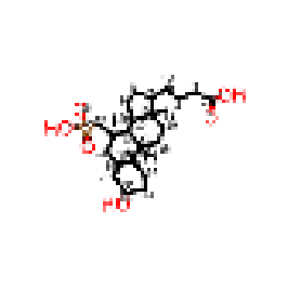 C[C@H](CCC(=O)O)C1CC[C@H]2C3C(CS(=O)(=O)O)CC4C[C@H](O)CCC4(C)[C@H]3CCC12C